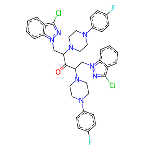 O=C(C(Cn1nc(Cl)c2ccccc21)N1CCN(c2ccc(F)cc2)CC1)C(Cn1nc(Cl)c2ccccc21)N1CCN(c2ccc(F)cc2)CC1